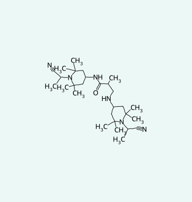 CC(CNC1CC(C)(C)N(C(C)C#N)C(C)(C)C1)C(=O)NC1CC(C)(C)N(C(C)C#N)C(C)(C)C1